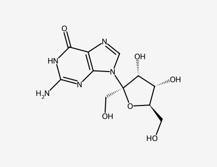 Nc1nc2c(ncn2[C@]2(CO)O[C@H](CO)[C@@H](O)[C@H]2O)c(=O)[nH]1